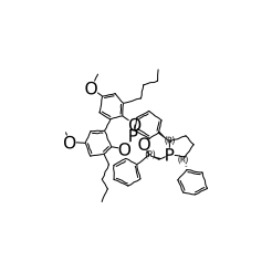 CCCCc1cc(OC)cc2c1op(O[C@@H](CP1[C@@H](c3ccccc3)CC[C@@H]1c1ccccc1)c1ccccc1)oc1c(CCCC)cc(OC)cc12